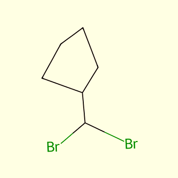 BrC(Br)C1CCCC1